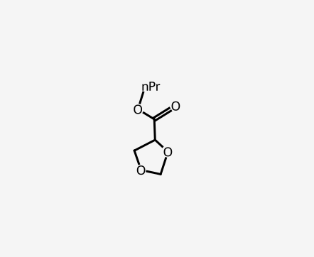 CCCOC(=O)C1COCO1